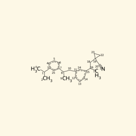 CC(C)c1cccc(C(C)Cc2cccc(C(C)CC3(C#N)CC3)c2)c1